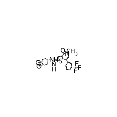 Cn1cc(-c2cccc(C(F)(F)F)c2)c2sc(C(=N)NC3CCS(=O)(=O)CC3)cc2c1=O